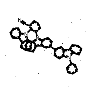 N#Cc1cccc(-n2c3ccccc3c3cc(-c4ccc5c(c4)c4ccccc4n5-c4ccccc4)ccc32)c1-n1c2ccccc2c2ccccc21